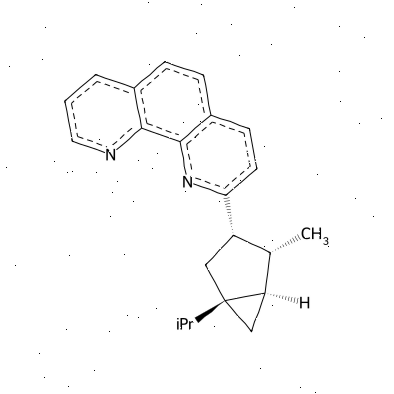 CC(C)[C@@]12C[C@H](c3ccc4ccc5cccnc5c4n3)[C@H](C)[C@H]1C2